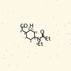 CCC(=O)N(CC)C1CCC(CC(=O)O)CC1